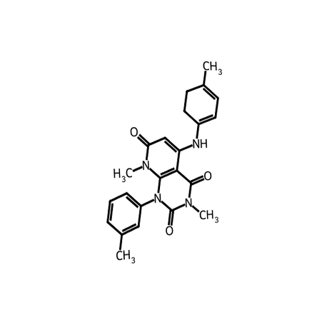 CC1=CC=C(Nc2cc(=O)n(C)c3c2c(=O)n(C)c(=O)n3-c2cccc(C)c2)CC1